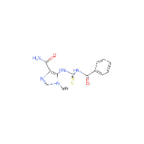 CCCn1cnc(C(N)=O)c1NC(=S)NC(=O)c1ccccc1